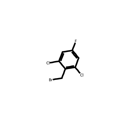 Fc1cc(Cl)c(CBr)c(Cl)c1